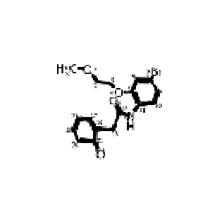 COCCOc1cc(Br)ccc1NC(=O)Cc1ccccc1Cl